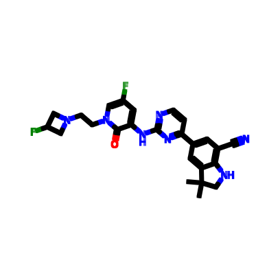 CC1(C)CNc2c(C#N)cc(-c3ccnc(Nc4cc(F)cn(CCN5CC(F)C5)c4=O)n3)cc21